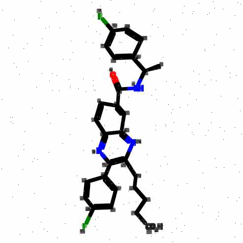 C[C@@H](NC(=O)c1ccc2nc(-c3ccc(F)cc3)c(CCCCC(=O)O)nc2c1)c1ccc(F)cc1